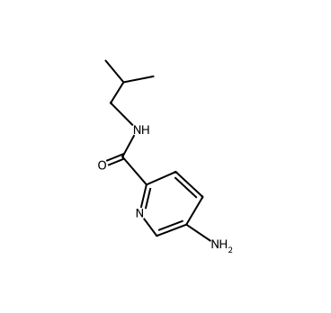 CC(C)CNC(=O)c1ccc(N)cn1